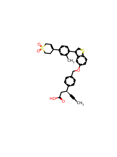 CC#C[C@@H](CC(=O)O)c1ccc(COc2ccc3scc(-c4ccc(C5=CCS(=O)(=O)CC5)cc4C)c3c2)cc1